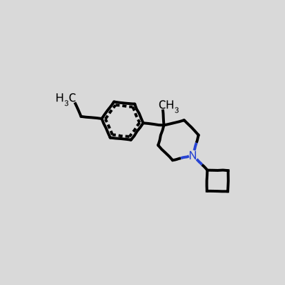 CCc1ccc(C2(C)CCN(C3CCC3)CC2)cc1